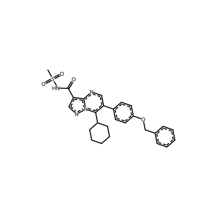 CS(=O)(=O)NC(=O)c1cnn2c(C3CCCCC3)c(-c3ccc(OCc4ccccc4)cc3)cnc12